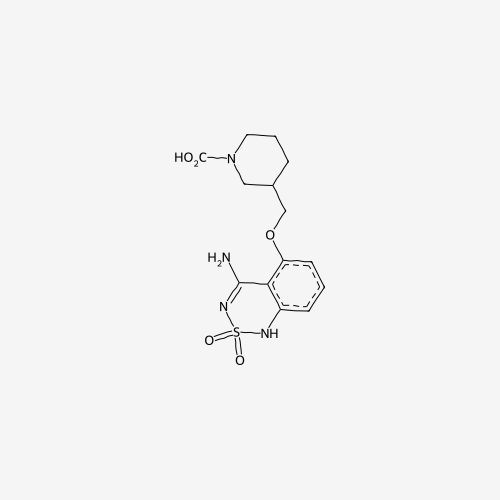 NC1=NS(=O)(=O)Nc2cccc(OCC3CCCN(C(=O)O)C3)c21